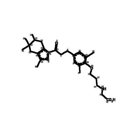 Cc1cc(CCC(=O)n2nc(C)c3c2CC(C)C(C)(C)C3)cc(C)c1OCCCNCC(=O)O